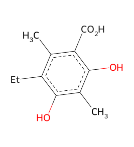 CCc1c(C)c(C(=O)O)c(O)c(C)c1O